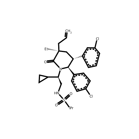 C=CC[C@@]1(CC)C[C@H](c2cccc(Cl)c2)[C@@H](c2ccc(Cl)cc2)N([C@@H](CNS(=O)(=O)C(C)C)C2CC2)C1=O